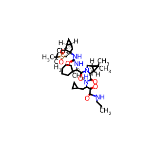 C=CCNC(=O)C(=O)C(CC1CC1)NC(=O)[C@@H]1[C@@H]2[C@H](CN1C(=O)[C@@H](NC(=O)N[C@@]1(CS(=O)(=O)C(C)(C)C)C[C@H]3C[C@H]3C1)C1(C)CCCCC1)C2(C)C